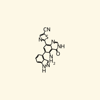 N#Cc1cnc(-c2cc(-c3cccc4[nH]ncc34)c(N)c3c(=O)[nH]cnc23)s1